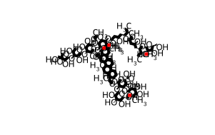 CC[C@H](C)[C@H](C[C@H](O)CC(=O)O[C@@H]1[C@H](OC(C)=O)[C@@H](O[C@@H]2O[C@@H](C)[C@H](OC3=C(O)[C@@H](O[C@@H]4OC[C@](O)(CO)[C@H]4O)[C@H](O)CO3)[C@@H](O)[C@H]2O)[C@H](OC(=O)[C@]23CCC(C)(C)C[C@H]2C2=CC[C@@H]4[C@@]5(C)CC[C@H](O[C@@H]6O[C@H](C(=O)O)[C@@H](O)[C@H](O[C@@H]7O[C@@H](C)[C@H](O)[C@@H](O)[C@H]7O)[C@H]6O[C@@H]6O[C@H](CO)[C@H](O)[C@H](O)[C@H]6O)[C@@](C)(C=O)[C@@H]5CC[C@@]4(C)[C@]2(C)CC3)O[C@@H]1C)OC(=O)C[C@@H](O)C[C@H](O[C@@H]1O[C@@H](CO)[C@H](O)[C@H]1O)[C@@H](C)CC